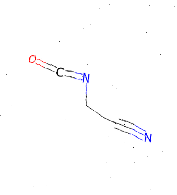 N#CCN=C=O